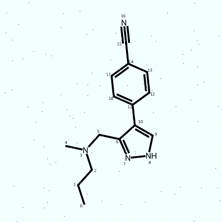 CCCN(C)Cc1n[nH]cc1-c1ccc(C#N)cc1